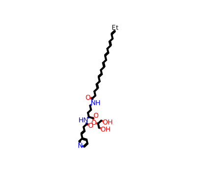 CCC=CCC=CCC=CCC=CCC=CCC=CCCC(=O)NCCCC(NC(=O)CC=Cc1cccnc1)C(=O)OC(CO)CO